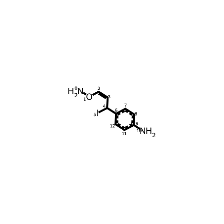 NO/C=C\C(I)c1ccc(N)cc1